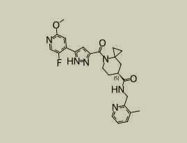 COc1cc(-c2cc(C(=O)N3CC[C@H](C(=O)NCc4ncccc4C)CC34CC4)n[nH]2)c(F)cn1